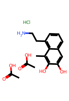 CC(=O)O.CC(=O)O.Cc1c(O)c(O)cc2cccc(CCN)c12.Cl